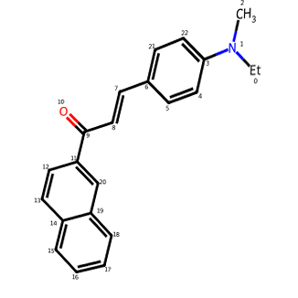 CCN(C)c1ccc(/C=C/C(=O)c2ccc3ccccc3c2)cc1